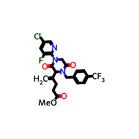 C=C(CCC(=O)OC)C1C(=O)N(c2ncc(Cl)cc2F)CC(=O)N1Cc1ccc(C(F)(F)F)cc1